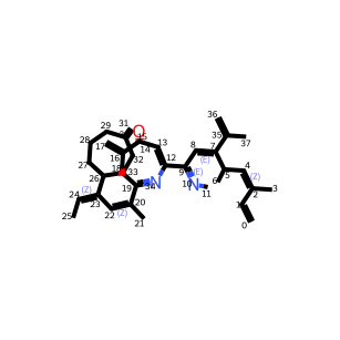 C=C/C(C)=C\C(C)/C(=C\C(=N/C)C1=CC(=O)C(=C)CC(/C(C)=C\C(=C/C)C2CCCC(=C)CC2)=N1)C(=C)C